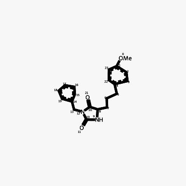 COc1ccc(CCCC2NC(=O)N(Cc3ccccc3)C2=O)cc1